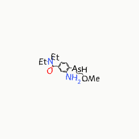 CCN(CC)C(=O)c1ccc([AsH]CCOC)c(N)c1